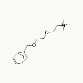 C[N+](C)(C)CCOCCOCC1CC2C=CC1C2